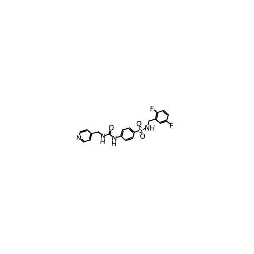 O=C(NCc1ccncc1)Nc1ccc(S(=O)(=O)NCc2cc(F)ccc2F)cc1